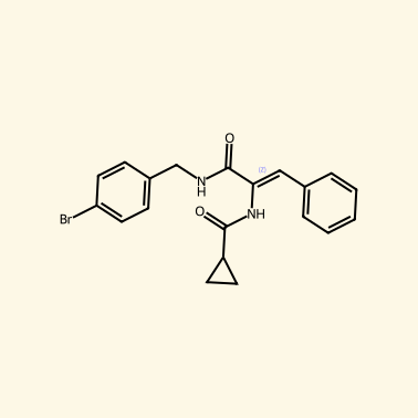 O=C(NCc1ccc(Br)cc1)/C(=C/c1ccccc1)NC(=O)C1CC1